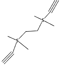 C#CS(C)(C)CCS(C)(C)C#C